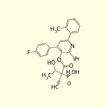 C#CC(C(=O)Oc1c(-c2ccc(F)cc2)cc(-c2ccccc2C)nc1C(C)C)(C(C)O)[PH](=O)O